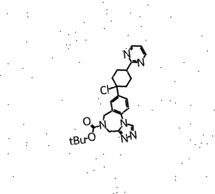 CC(C)(C)OC(=O)N1Cc2cc(C3(Cl)CCC(c4ncccn4)CC3)ccc2-n2cnnc2C1